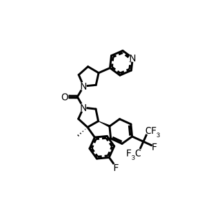 C[C@]1(c2ccc(F)cc2)CN(C(=O)N2CCC(c3ccncc3)C2)C[C@H]1C1C=CC(C(F)(C(F)(F)F)C(F)(F)F)=CC1